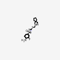 Nc1ccc(S(=O)(=O)/N=C/SCN2CC3(C=N2)CCCC3)cc1F